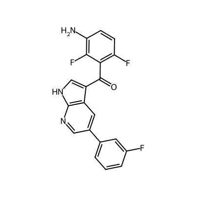 Nc1ccc(F)c(C(=O)c2c[nH]c3ncc(-c4cccc(F)c4)cc23)c1F